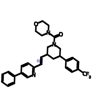 O=C(N1CCOCC1)N1CC(/C=C/c2ccc(-c3ccccc3)cn2)CC(c2ccc(C(F)(F)F)cc2)C1